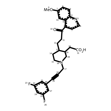 COc1ccc2nccc(C(=O)CCC3CCN(CC#Cc4cc(F)cc(F)c4)CC3CC(=O)O)c2c1